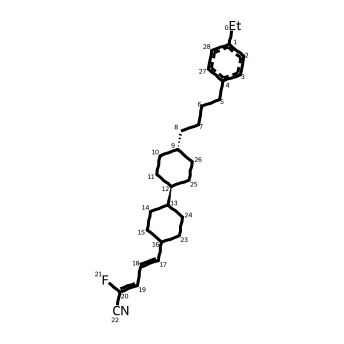 CCc1ccc(CCCC[C@H]2CC[C@H](C3CCC(/C=C/C=C(\F)C#N)CC3)CC2)cc1